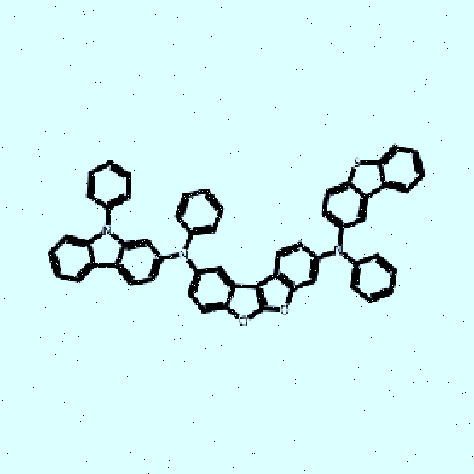 c1ccc(N(c2ccc3c(c2)oc2oc4ccc(N(c5ccccc5)c5ccc6c7ccccc7n(-c7ccccc7)c6c5)cc4c23)c2ccc3sc4ccccc4c3c2)cc1